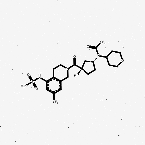 CC(C)[C@]1(C(=O)N2CCc3c(cc(C(F)(F)F)cc3NS(N)(=O)=O)C2)CC[C@@H](N(C(=O)C(F)(F)F)C2CCOCC2)C1